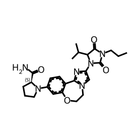 CCCN1C(=O)C(C(C)C)N(c2cn3c(n2)-c2ccc(N4CCC[C@H]4C(N)=O)cc2OCC3)C1=O